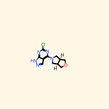 Clc1nc(N2C[C@H]3COC[C@H]3C2)c2cn[nH]c2n1